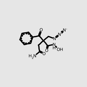 [N-]=[N+]=NCC(CC(N)=O)(C(=O)NO)C(=O)c1ccccc1